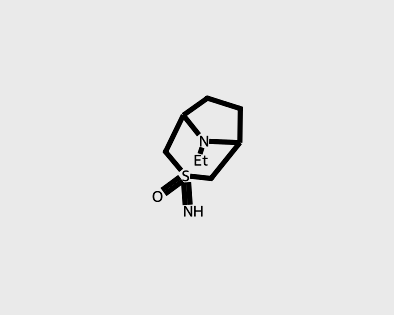 CCN1C2CCC1CS(=N)(=O)C2